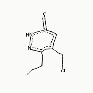 CCc1n[nH]c(=S)cc1CCl